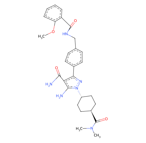 COc1ccccc1C(=O)NCc1ccc(-c2nn([C@H]3CC[C@H](C(=O)N(C)C)CC3)c(N)c2C(N)=O)cc1